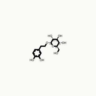 OC[C@H]1O[C@H](OCCc2ccc(O)c(O)c2)[C@H](O)[C@@H](O)[C@@H]1O